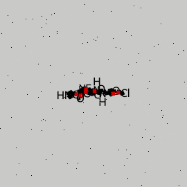 COc1cc2c(Oc3ccc(NC(=O)C(=O)NCCc4ccc(OCCCCl)cc4)cc3F)ccnc2cc1OCC1CCNCC1